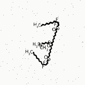 CCCCCCCCCC(F)(F)/C=C\COC(=O)CCCCCCCC(CCCCCCCC(=O)OC/C=C\C(F)(F)CCCCCCCCC)OC(=O)CCCN(C)C